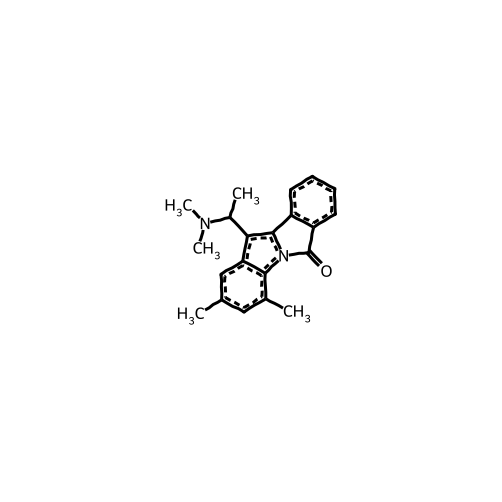 Cc1cc(C)c2c(c1)c(C(C)N(C)C)c1n2C(=O)c2ccccc2-1